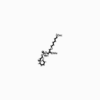 CCCCCCCCCCCCCCCCOCC(COP(=O)(O)OCC[N+]1(C)CCCCC1)OC